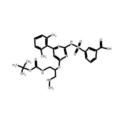 CNCC(CNC(=O)OC(C)(C)C)Oc1cc(-c2c(C)cccc2C)nc(NS(=O)(=O)c2cccc(C(=O)O)c2)n1